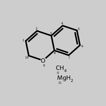 C.C1=Cc2ccccc2OC1.[MgH2]